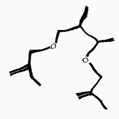 C=C(C)COCC(C)C(C)OCC(=C)C